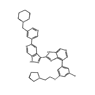 Fc1cc(OCCN2CCCC2)cc(-c2cncc3[nH]c(-c4n[nH]c5cnc(-c6cncc(CN7CCCCC7)c6)cc45)nc23)c1